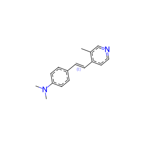 Cc1cnccc1/C=C/c1ccc(N(C)C)cc1